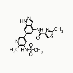 Cc1nc(C(=O)Nc2cc(-c3cnc(C)c(NS(C)(=O)=O)c3)cc3[nH]ncc23)cs1